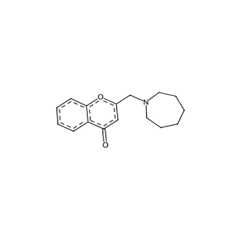 O=c1cc(CN2CCCCCC2)oc2ccccc12